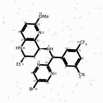 CC[C@@H]1C[C@H](NC(c2cc(C#N)cc(C(F)(F)F)c2)c2ncc(Br)cn2)c2nc(OC)ccc2N1